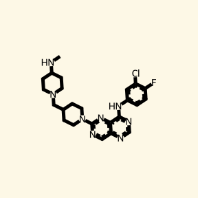 CNC1CCN(CC2CCN(c3ncc4ncnc(Nc5ccc(F)c(Cl)c5)c4n3)CC2)CC1